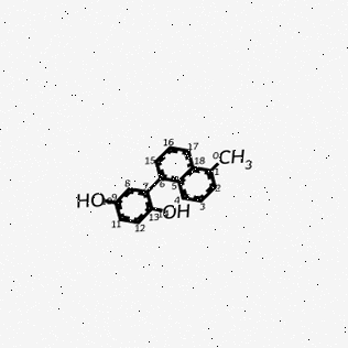 Cc1cccc2c(-c3cc(O)ccc3O)cccc12